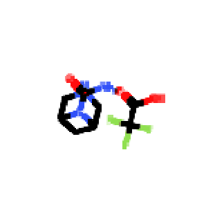 NC(=O)N1C2CNCC1C2.O=C(O)C(F)(F)F